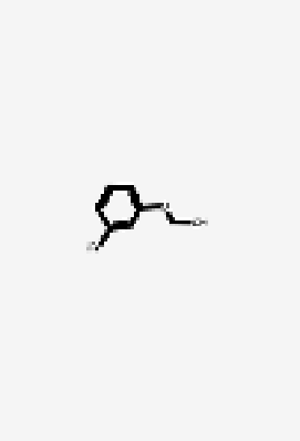 CC(C)c1cccc(OCC#N)c1